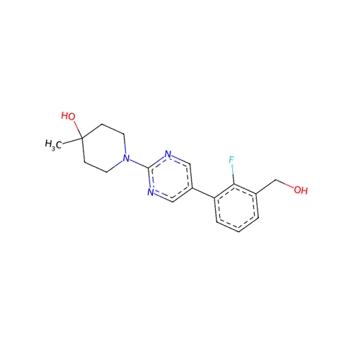 CC1(O)CCN(c2ncc(-c3cccc(CO)c3F)cn2)CC1